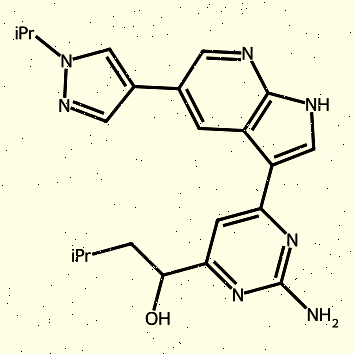 CC(C)CC(O)c1cc(-c2c[nH]c3ncc(-c4cnn(C(C)C)c4)cc23)nc(N)n1